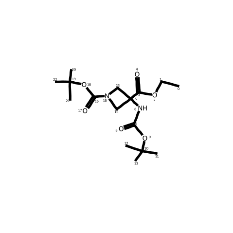 CCOC(=O)C1(NC(=O)OC(C)(C)C)CN(C(=O)OC(C)(C)C)C1